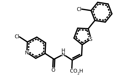 O=C(O)C(=Cc1ccc(-c2ccccc2Cl)s1)NC(=O)c1ccc(Cl)nc1